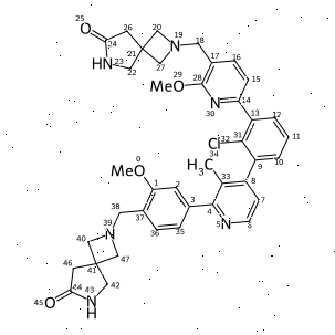 COc1cc(-c2nccc(-c3cccc(-c4ccc(CN5CC6(CNC(=O)C6)C5)c(OC)n4)c3Cl)c2C)ccc1CN1CC2(CNC(=O)C2)C1